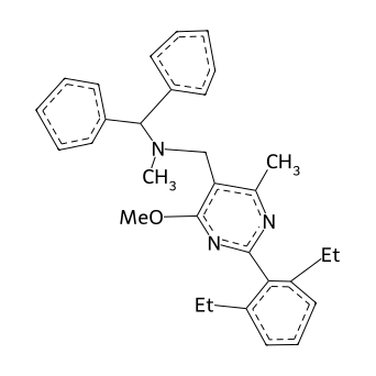 CCc1cccc(CC)c1-c1nc(C)c(CN(C)C(c2ccccc2)c2ccccc2)c(OC)n1